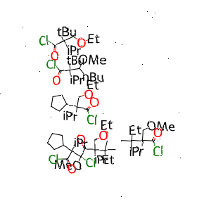 CCC(C)(C)C(COC)(C(=O)Cl)C(C)C.CCCCC(OC)C(C(=O)Cl)(C(C)C)C(C)(C)C.CCOCC(C(=O)C(Cl)(OC)C(C(=O)Cl)(C(C)C)C1CCCC1)(C(C)C)C(C)(C)CC.CCOCC(C(=O)Cl)(C(C)C)C(C)(C)C.CCOCC(C(=O)Cl)(C(C)C)C1CCCC1